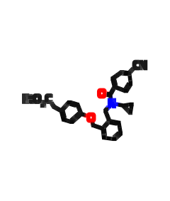 CCOC(=O)Cc1ccc(OCc2ccccc2CN(C(=O)c2ccc(C#N)cc2)C2CC2)cc1